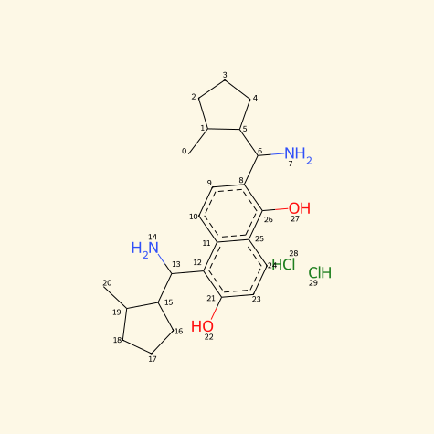 CC1CCCC1C(N)c1ccc2c(C(N)C3CCCC3C)c(O)ccc2c1O.Cl.Cl